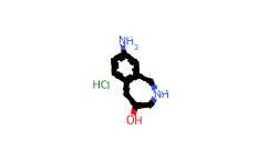 Cl.Nc1ccc2c(c1)CNCC(O)C2